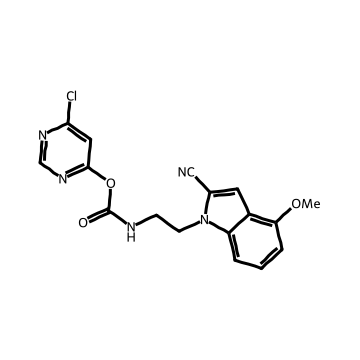 COc1cccc2c1cc(C#N)n2CCNC(=O)Oc1cc(Cl)ncn1